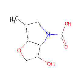 CC1CN(C(=O)O)C2C(O)COC12